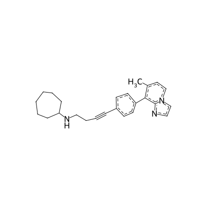 Cc1ccn2ccnc2c1-c1ccc(C#CCCNC2CCCCCC2)cc1